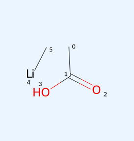 CC(=O)O.[Li][CH3]